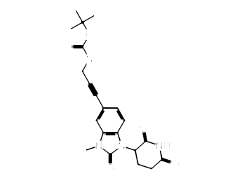 Cn1c(=O)n(C2CCC(=O)NC2=O)c2ccc(C#CCNC(=O)OC(C)(C)C)cc21